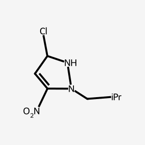 CC(C)CN1NC(Cl)C=C1[N+](=O)[O-]